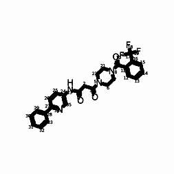 O=C(CC(=O)N1CCN(C(=O)c2ccccc2C(F)(F)F)CC1)Nc1ccc(-c2ccccc2)nc1